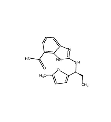 CC[C@H](Nc1nc2cccc(C(=O)O)c2[nH]1)c1ccc(C)o1